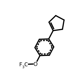 FC(F)(F)Oc1ccc(C2=CCCC2)cc1